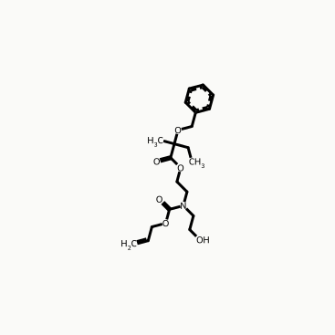 C=CCOC(=O)N(CCO)CCOC(=O)C(C)(CC)OCc1ccccc1